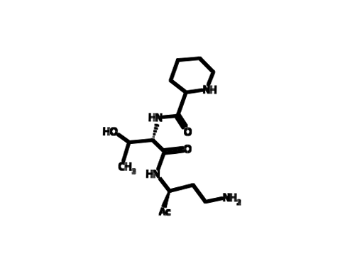 CC(=O)[C@H](CCN)NC(=O)[C@@H](NC(=O)C1CCCCN1)C(C)O